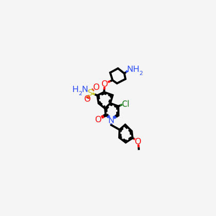 COc1ccc(Cn2cc(Cl)c3cc(OC4CCC(N)CC4)c(S(N)(=O)=O)cc3c2=O)cc1